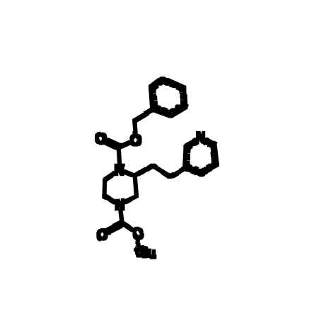 CC(C)(C)OC(=O)N1CCN(C(=O)OCc2ccccc2)C(CCc2cccnc2)C1